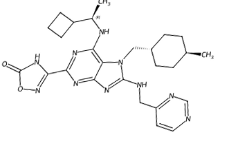 C[C@@H](Nc1nc(-c2noc(=O)[nH]2)nc2nc(NCc3ccncn3)n(C[C@H]3CC[C@H](C)CC3)c12)C1CCC1